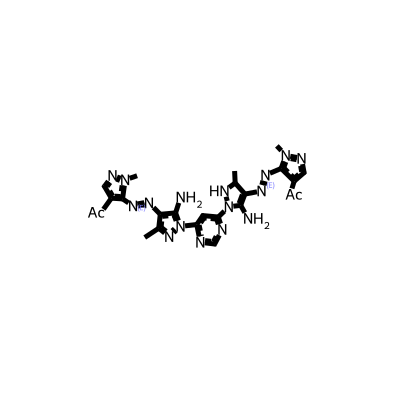 CC(=O)c1cnn(C)c1/N=N/C1=C(N)N(c2cc(-n3nc(C)c(/N=N/c4c(C(C)=O)cnn4C)c3N)ncn2)NC1C